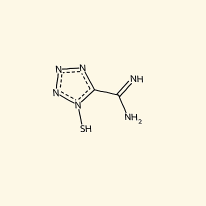 N=C(N)c1nnnn1S